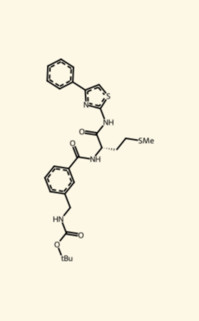 CSCC[C@H](NC(=O)c1cccc(CNC(=O)OC(C)(C)C)c1)C(=O)Nc1nc(-c2ccccc2)cs1